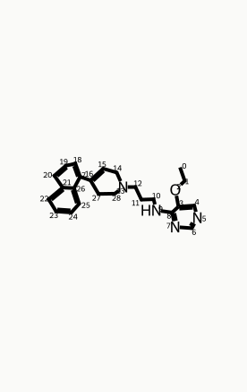 CCOc1cncnc1NCCCN1CC=C(c2cccc3ccccc23)CC1